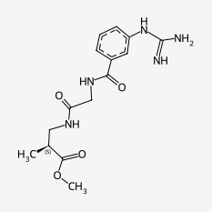 COC(=O)[C@@H](C)CNC(=O)CNC(=O)c1cccc(NC(=N)N)c1